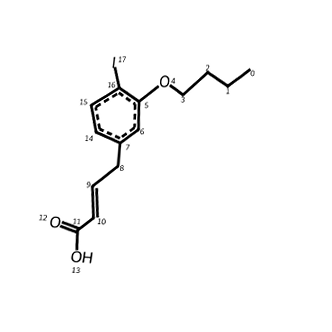 CCCCOc1cc(C/C=C/C(=O)O)ccc1I